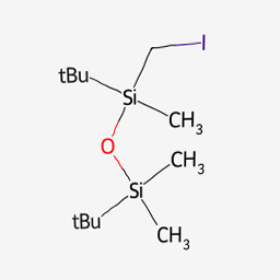 CC(C)(C)[Si](C)(C)O[Si](C)(CI)C(C)(C)C